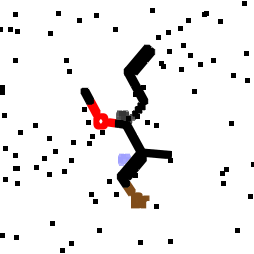 C=CC[C@@H](OC)/C(C)=C/Br